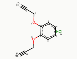 C#CCOc1ccccc1OCC#C.Cl